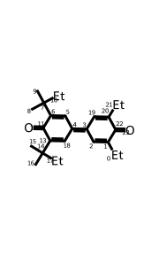 CCC1=CC(=C2C=C(C(C)(C)CC)C(=O)C(C(C)(C)CC)=C2)C=C(CC)C1=O